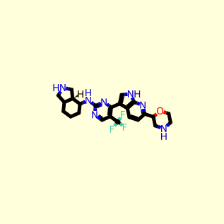 FC(F)(F)c1cnc(NC2CCCC3CNC[C@H]32)nc1-c1c[nH]c2nc(C3CNCCO3)ccc12